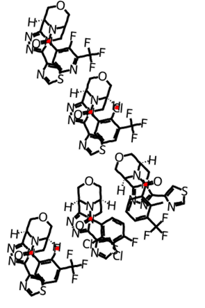 Cc1c(C(=O)N2[C@H]3COC[C@@H]2c2nnc(-c4cscn4)n2C3)cccc1C(F)(F)F.O=C(c1ccc(F)c(Cl)c1Cl)N1[C@H]2COC[C@@H]1c1nnc(-c3cscn3)n1C2.O=C(c1cccc(C(F)(F)F)c1Cl)N1[C@H]2COC[C@@H]1c1nnc(-c3cscn3)n1C2.O=C(c1cccc(C(F)(F)F)c1F)N1[C@H]2COC[C@@H]1c1nnc(-c3cscn3)n1C2.O=C(c1ccnc(C(F)(F)F)c1F)N1C2COC[C@@H]1c1nnc(-c3cscn3)n1C2